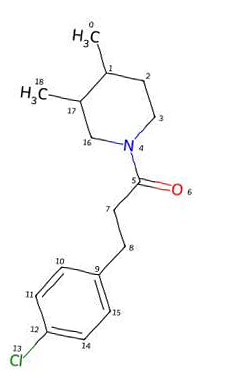 CC1CCN(C(=O)CCc2ccc(Cl)cc2)CC1C